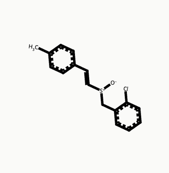 Cc1ccc(C=C[S+]([O-])Cc2ccccc2Cl)cc1